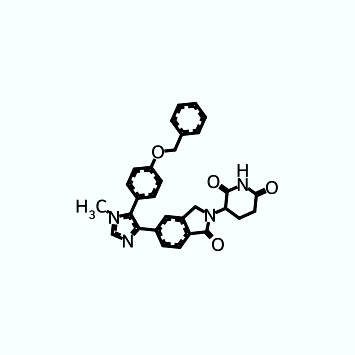 Cn1cnc(-c2ccc3c(c2)CN(C2CCC(=O)NC2=O)C3=O)c1-c1ccc(OCc2ccccc2)cc1